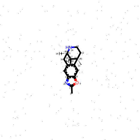 Cc1nc2cc3c(cc2o1)[C@]1(C)CCN[C@H](C3)[C@H]1C